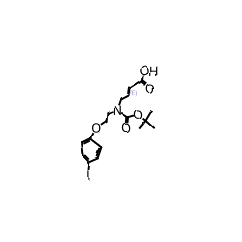 CC(C)(C)OC(=O)N(C/C=C/C(=O)O)CCOc1ccc(I)cc1